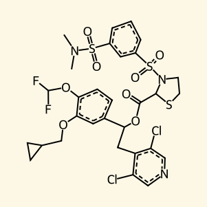 CN(C)S(=O)(=O)c1cccc(S(=O)(=O)N2CCSC2C(=O)OC(Cc2c(Cl)cncc2Cl)c2ccc(OC(F)F)c(OCC3CC3)c2)c1